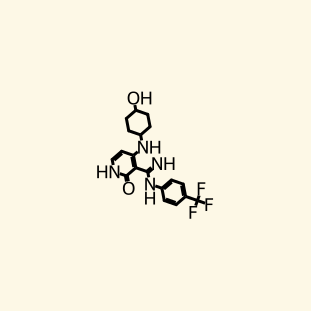 N=C(Nc1ccc(C(F)(F)F)cc1)c1c(NC2CCC(O)CC2)cc[nH]c1=O